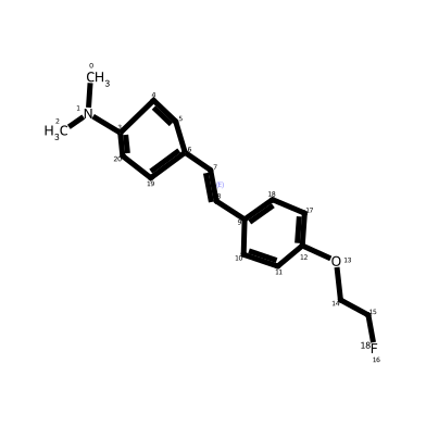 CN(C)c1ccc(/C=C/c2ccc(OCC[18F])cc2)cc1